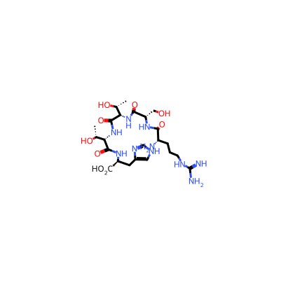 C[C@@H](O)[C@H](NC(=O)[C@H](CO)NC(=O)[C@@H](N)CCCNC(=N)N)C(=O)N[C@H](C(=O)N[C@@H](Cc1c[nH]cn1)C(=O)O)[C@@H](C)O